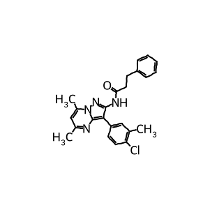 Cc1cc(C)n2nc(NC(=O)CCc3ccccc3)c(-c3ccc(Cl)c(C)c3)c2n1